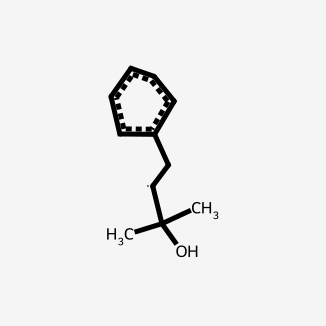 CC(C)(O)[CH]Cc1ccccc1